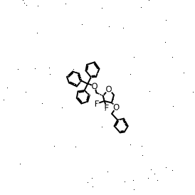 FC1(F)[C@H](OCc2ccccc2)CO[C@@H]1COC(c1ccccc1)(c1ccccc1)c1ccccc1